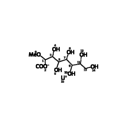 COC(C(=O)[O-])C(O)C(O)C(O)C(O)C(O)CO.[Li+]